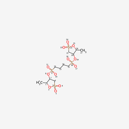 CC1OS(=O)(=O)CC1OS(=O)(=O)CCCCS(=O)(=O)OC1CS(=O)(=O)OC1C